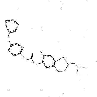 CN(C)CC1CCc2cc(NC(=O)Nc3ccc(Oc4ccccc4)cc3)c(Cl)cc2C1